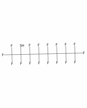 FC(F)(F)C(F)(F)C(F)(F)C(F)(F)C(F)(F)C(F)(F)C(F)(S)C(F)(F)F